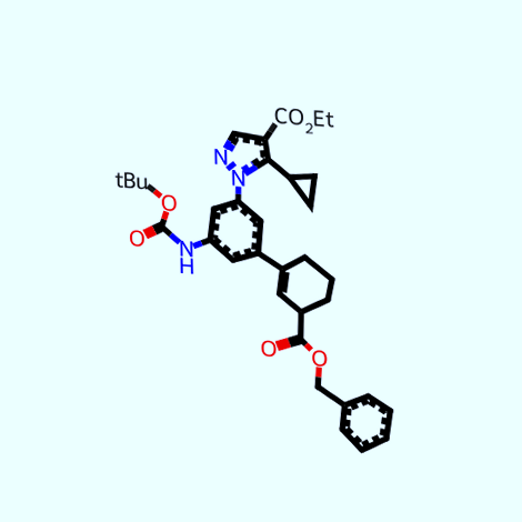 CCOC(=O)c1cnn(-c2cc(NC(=O)OC(C)(C)C)cc(C3=CC(C(=O)OCc4ccccc4)CCC3)c2)c1C1CC1